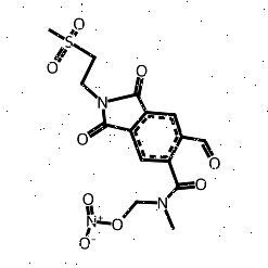 CN(CO[N+](=O)[O-])C(=O)c1cc2c(cc1C=O)C(=O)N(CCS(C)(=O)=O)C2=O